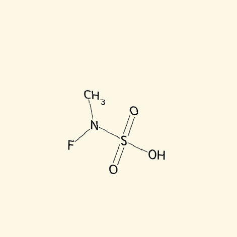 CN(F)S(=O)(=O)O